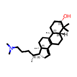 C[C@H](CCCN(C)C)[C@H]1CC=C2C3=C(CC[C@@]21C)[C@@]1(C)CC[C@H](O)C(C)(C)[C@@H]1CC3